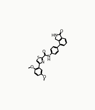 COc1ccc(OC)c(-c2csc(C(=O)Nc3ccc(-c4cccc5c4CNC5=O)cc3)n2)c1